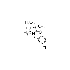 CCC(C)(C)C(=O)N(C)Cc1cccc(Cl)c1